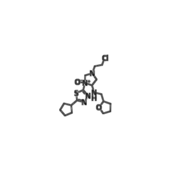 [O-][N+]1(c2nnc(C3CCCC3)s2)CN(CCCl)CC1NCC1CCCO1